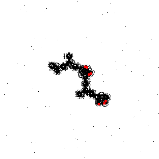 c1ccc(-c2cc(-c3ccc(-c4cccc5c4oc4ccccc45)cc3)nc(-c3ccc(-c4ccc5c(c4)Oc4cc(-c6ccc(-c7cc(-c8ccccn8)nc(-c8ccc(-c9ccc%10c(c9)Oc9ccccc9C%109c%10ccccc%10-c%10ccccc%109)cc8)n7)cc6)ccc4C54c5ccccc5-c5ccccc54)cc3)n2)cc1